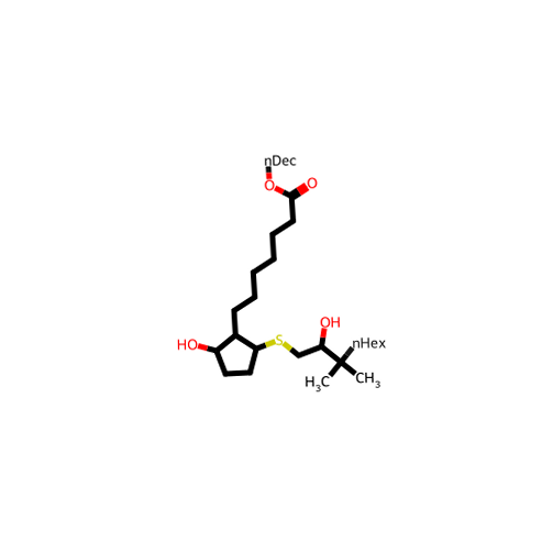 CCCCCCCCCCOC(=O)CCCCCCC1C(O)CCC1SCC(O)C(C)(C)CCCCCC